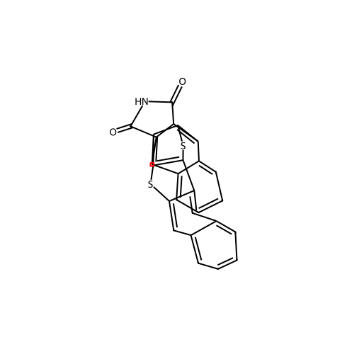 O=C1NC(=O)C2c3c4ccccc4c(c4sc5c6cc7ccccc7cc6sc5c34)C12